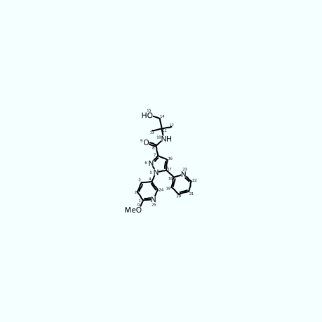 COc1ccc(-n2nc(C(=O)NC(C)(C)CO)cc2-c2ccccn2)cn1